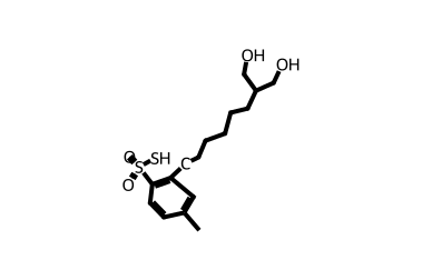 Cc1ccc(S(=O)(=O)S)c(CCCCCCC(CO)CO)c1